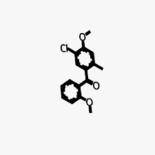 COc1cc(C)c(C(=O)c2ccccc2OC)cc1Cl